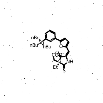 CCC[CH2][Sn]([CH2]CCC)([CH2]CCC)[c]1cccc(-c2ccc(C=C3NC(=S)[N+](CC)(CC(=O)[O-])C3=O)o2)c1